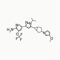 COc1ccn(C2CC3C(C2)C3c2cc(-c3cnc(N)c(OC(F)(F)F)c3)nn2C(C)C)c1